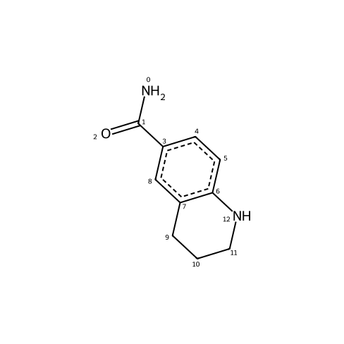 NC(=O)c1ccc2c(c1)CCCN2